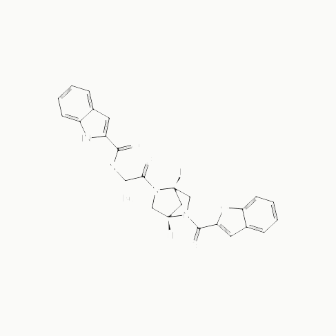 CC(C)(C)[C@H](NC(=O)c1cc2ccccc2[nH]1)C(=O)N1C[C@@H]2C[C@H]1CN2C(=O)c1cc2ccccc2o1